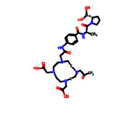 CC(=O)CN1CCN(CC(=O)O)CCN(CC(=O)O)CCN(CC(=O)Nc2ccc(C(=O)N[C@H](C)C(=O)N3CCC[C@H]3B(O)O)cc2)CC1